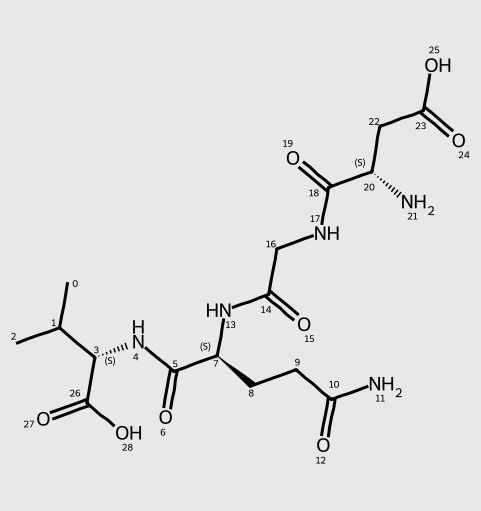 CC(C)[C@H](NC(=O)[C@H](CCC(N)=O)NC(=O)CNC(=O)[C@@H](N)CC(=O)O)C(=O)O